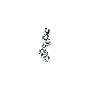 Fc1ccc(COCC(c2ccc(OC(F)(F)F)cc2)C(F)(F)F)cc1Oc1ccccc1